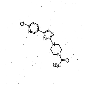 CC(C)(C)C(=O)N1CCN(c2nc(-c3ccc(Cl)nc3)cs2)CC1